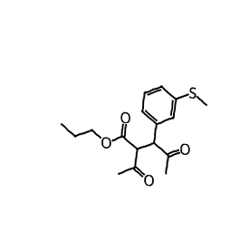 CCCOC(=O)C(C(C)=O)C(C(C)=O)c1cccc(SC)c1